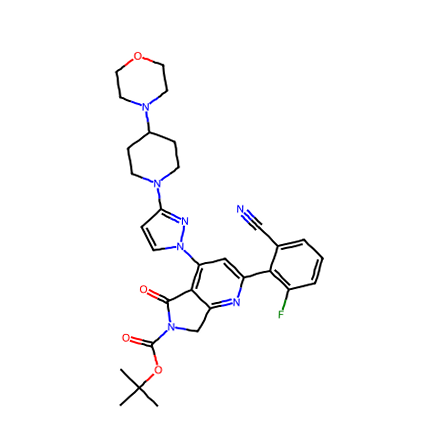 CC(C)(C)OC(=O)N1Cc2nc(-c3c(F)cccc3C#N)cc(-n3ccc(N4CCC(N5CCOCC5)CC4)n3)c2C1=O